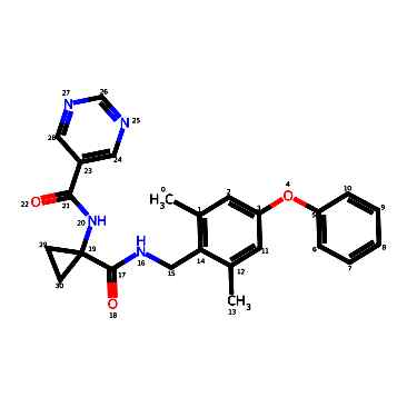 Cc1cc(Oc2ccccc2)cc(C)c1CNC(=O)C1(NC(=O)c2cncnc2)CC1